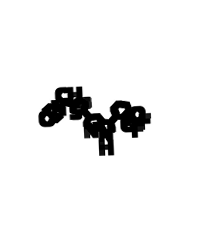 CC(c1ccc(-c2cnc3[nH]cc(-c4cccc5c4OC(F)(F)O5)c3c2)s1)N1CCOCC1